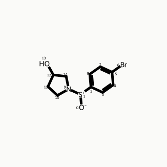 [O-][S+](c1ccc(Br)cc1)N1CCC(O)C1